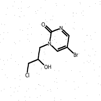 O=c1ncc(Br)cn1CC(O)CCl